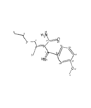 CCCC/C(C)=C(/C(=N)c1cccc(OC)c1)C(N)=O